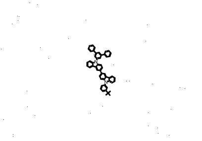 CC(C)(C)c1cccc(-n2c3ccccc3c3cc(-c4ccc5c(c4)c4ccccc4n5-c4cc(-c5ccccc5)cc(-c5ccccc5)c4)ccc32)c1